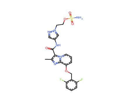 Cc1nc2c(OCc3c(F)cccc3F)cccn2c1C(=O)Nc1cnn(CCOS(N)(=O)=O)c1